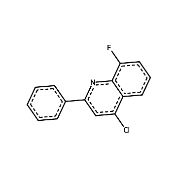 Fc1cccc2c(Cl)cc(-c3ccccc3)nc12